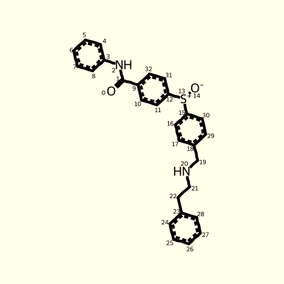 O=C(Nc1ccccc1)c1ccc([S+]([O-])c2ccc(CNCCc3ccccc3)cc2)cc1